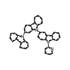 c1ccc(-n2c3ccccc3c3cc(-n4c5ccccc5c5ccc(-n6c7ccccc7c7ccccc76)cc54)ccc32)nc1